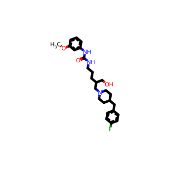 COc1cccc(NC(=O)NCCCC(CO)CN2CCC(Cc3ccc(F)cc3)CC2)c1